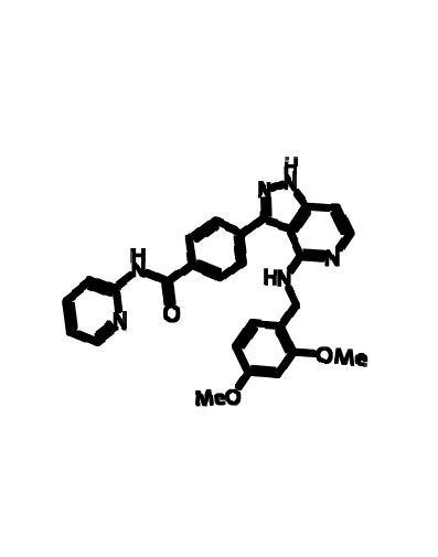 COc1ccc(CNc2nccc3[nH]nc(-c4ccc(C(=O)Nc5ccccn5)cc4)c23)c(OC)c1